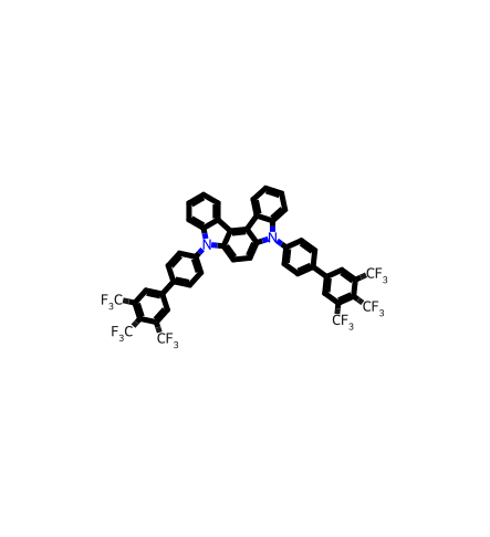 FC(F)(F)c1cc(-c2ccc(-n3c4ccccc4c4c5c6ccccc6n(-c6ccc(-c7cc(C(F)(F)F)c(C(F)(F)F)c(C(F)(F)F)c7)cc6)c5ccc43)cc2)cc(C(F)(F)F)c1C(F)(F)F